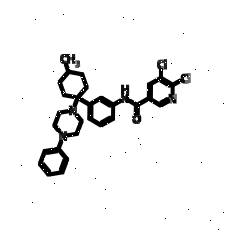 CC1CCC(c2cccc(NC(=O)c3cnc(Cl)c(Cl)c3)c2)(N2CCN(c3ccccc3)CC2)CC1